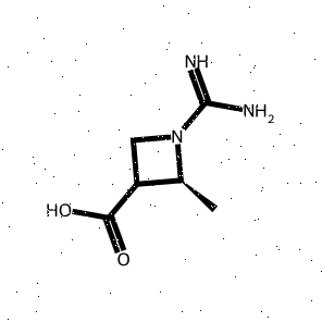 C[C@H]1C(C(=O)O)CN1C(=N)N